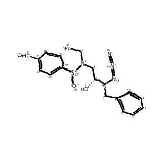 CC(C)CN(C[C@@H](O)[C@H](Cc1ccccc1)N=[N+]=[N-])[S+]([O-])c1ccc(C=O)cc1